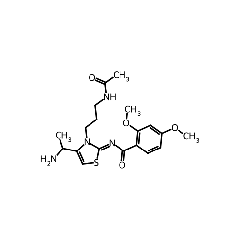 COc1ccc(C(=O)N=c2scc(C(C)N)n2CCCNC(C)=O)c(OC)c1